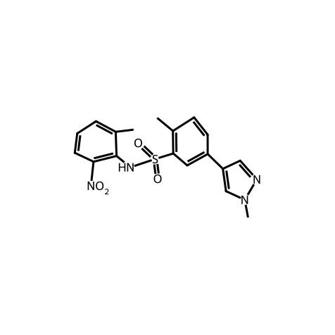 Cc1ccc(-c2cnn(C)c2)cc1S(=O)(=O)Nc1c(C)cccc1[N+](=O)[O-]